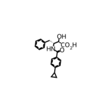 O=C(N[C@H](Cc1ccccc1)[C@@H](O)C(=O)O)c1ccc(C2CC2)cc1